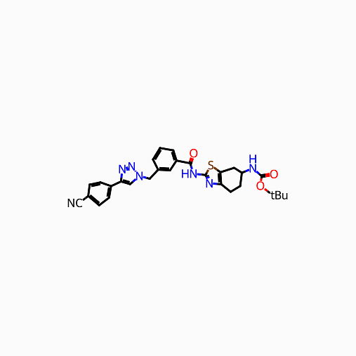 CC(C)(C)OC(=O)NC1CCc2nc(NC(=O)c3cccc(Cn4cc(-c5ccc(C#N)cc5)nn4)c3)sc2C1